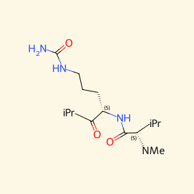 CN[C@H](C(=O)N[C@@H](CCCNC(N)=O)C(=O)C(C)C)C(C)C